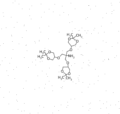 CC1(C)OCC(OCC(N)(COC2COC(C)(C)OC2)COC2COC(C)(C)OC2)CO1